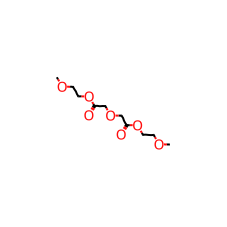 COCCOC(=O)COCC(=O)OCCOC